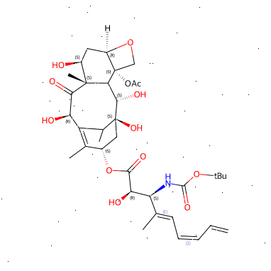 C=C/C=C\C=C(/C)[C@H](NC(=O)OC(C)(C)C)[C@@H](O)C(=O)O[C@H]1C[C@]2(O)C(C)C(=C1C)[C@@H](O)C(=O)[C@@]1(C)C([C@@H]2O)[C@]2(OC(C)=O)CO[C@@H]2C[C@@H]1O